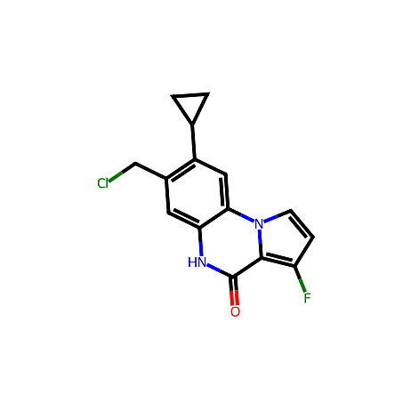 O=c1[nH]c2cc(CCl)c(C3CC3)cc2n2ccc(F)c12